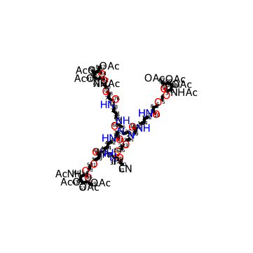 CC(=O)NC1C(OCCOCCC(=O)NCCCCNC(=O)CN(CCOCCOP(OCCC#N)N(C(C)C)C(C)C)CCN(CC(=O)NCCCCNC(=O)CCOCCOC2OC(COC(C)=O)C(OC(C)=O)C(OC(C)=O)C2NC(C)=O)CC(=O)NCCCCNC(=O)CCOCCOC2OC(COC(C)=O)C(OC(C)=O)C(OC(C)=O)C2NC(C)=O)OC(COC(C)=O)C(OC(C)=O)C1OC(C)=O